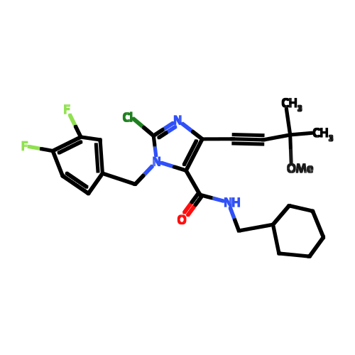 COC(C)(C)C#Cc1nc(Cl)n(Cc2ccc(F)c(F)c2)c1C(=O)NCC1CCCCC1